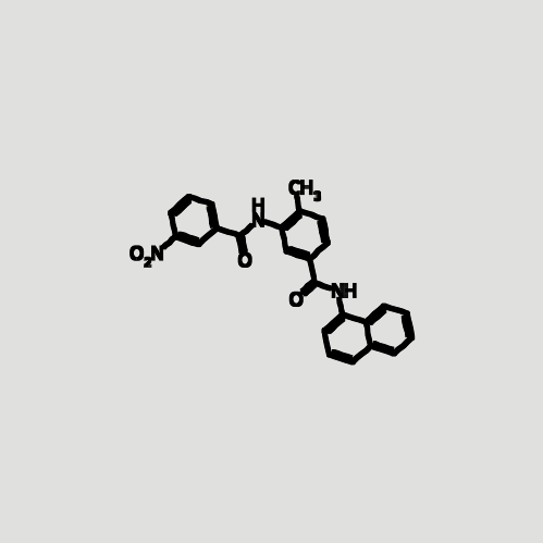 Cc1ccc(C(=O)Nc2cccc3ccccc23)cc1NC(=O)c1cccc([N+](=O)[O-])c1